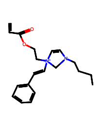 C=CC(=O)OCC[N+]1(C=Cc2ccccc2)C=CN(CCCC)C1